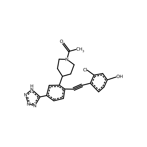 CC(=O)N1CCC(c2cc(-c3nnn[nH]3)ccc2C#Cc2ccc(O)cc2Cl)CC1